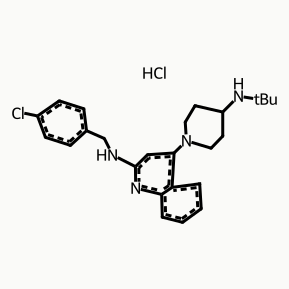 CC(C)(C)NC1CCN(c2cc(NCc3ccc(Cl)cc3)nc3ccccc23)CC1.Cl